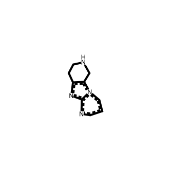 c1cnc2nc3c(n2c1)CNCC3